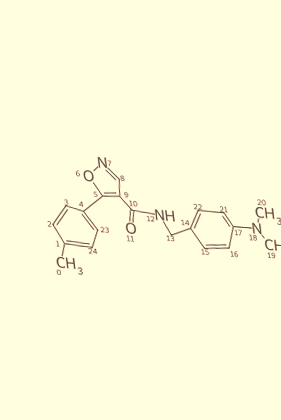 Cc1ccc(-c2oncc2C(=O)NCc2ccc(N(C)C)cc2)cc1